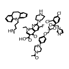 CC(=O)N1CCN(c2ccc(OC[C@H]3CO[C@](Cn4ccnc4)(c4ccc(Cl)cc4Cl)O3)cc2)CC1.CCn1cc(C(=O)O)c(=O)c2cc(F)c(N3CCNCC3)nc21.CNCCCN1c2ccccc2CCc2ccccc21